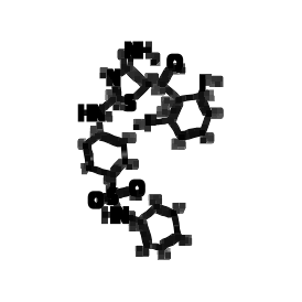 Nc1nc(Nc2ccc(S(=O)(=O)Nc3ccccc3)cc2)sc1C(=O)c1c(F)cccc1F